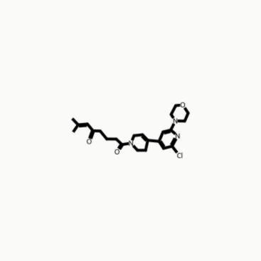 CC(C)=CC(=O)CCCC(=O)N1CC=C(c2cc(Cl)nc(N3CCOCC3)c2)CC1